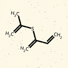 C=CC(=C)SC(=C)C